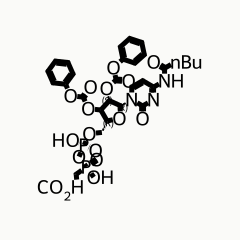 CCCCC(=O)Nc1ccn([C@@H]2O[C@H](COP(=O)(O)OP(=O)(O)CC(=O)O)C(OC(=O)Oc3ccccc3)[C@@H]2OC(=O)Oc2ccccc2)c(=O)n1